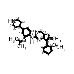 COc1ccccc1-c1c(C)sc2cnc(Nc3ccc(C4CCNCC4)cc3OC(C)C)nc12